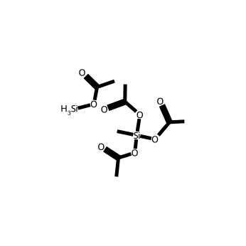 CC(=O)O[SiH3].CC(=O)O[Si](C)(OC(C)=O)OC(C)=O